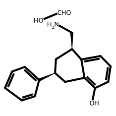 NC[C@@H]1C[C@H](c2ccccc2)Cc2c(O)cccc21.O=CO